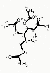 CC(=O)OC[C@@H](O)[C@@H](OC(C)=O)[C@H](OC(C)=O)[C@@H](F)C(=O)Cl